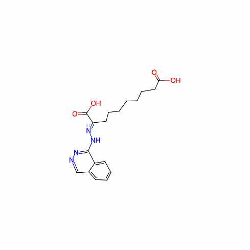 O=C(O)CCCCCCC/C(=N\Nc1nncc2ccccc12)C(=O)O